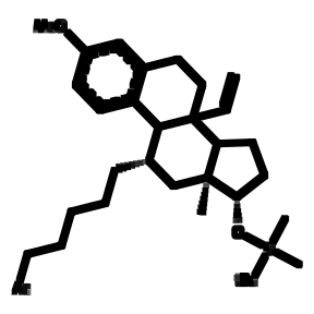 C=CC12CCc3cc(OC)ccc3C1[C@@H](CCCCCC(C)=O)C[C@@]1(C)C2CC[C@@H]1O[Si](C)(C)C(C)(C)C